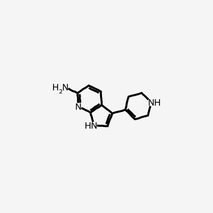 Nc1ccc2c(C3=CCNCC3)c[nH]c2n1